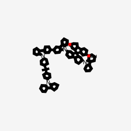 CC(C)(C)c1ccc2c(c1)C1(c3cc(-n4c5ccccc5c5ccccc54)ccc3-c3ccc(-n4c5ccccc5c5cc(-c6ccc7c8ccccc8n(-c8ccc(C(C)(C)c9ccc(-n%10c%11ccccc%11c%11ccccc%11%10)cc9)cc8)c7c6)ccc54)cc31)c1cc(C(C)(C)C)ccc1-2